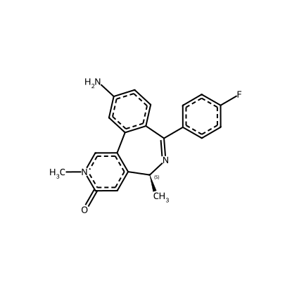 C[C@@H]1N=C(c2ccc(F)cc2)c2ccc(N)cc2-c2cn(C)c(=O)cc21